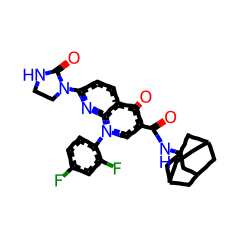 O=C(NC12CC3CC(CC(C3)C1)C2)c1cn(-c2ccc(F)cc2F)c2nc(N3CCNC3=O)ccc2c1=O